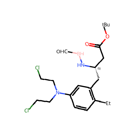 CCc1ccc(N(CCCl)CCCl)cc1C[C@@H](CC(=O)OC(C)(C)C)NBC=O